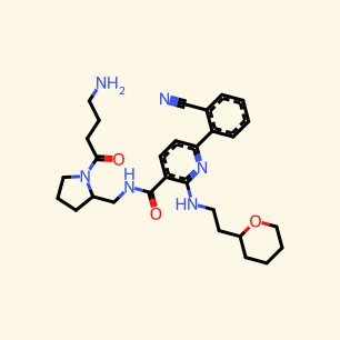 N#Cc1ccccc1-c1ccc(C(=O)NCC2CCCN2C(=O)CCCN)c(NCCC2CCCCO2)n1